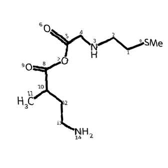 CSCCNCC(=O)OC(=O)C(C)CCN